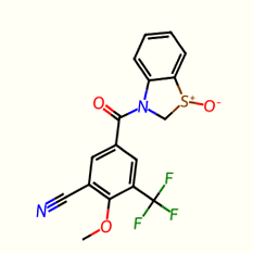 COc1c(C#N)cc(C(=O)N2C[S+]([O-])c3ccccc32)cc1C(F)(F)F